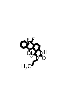 CCCCn1c(=O)[nH]c2ccc(C(F)(F)F)c(C(O)c3ccccc3)c2c1=O